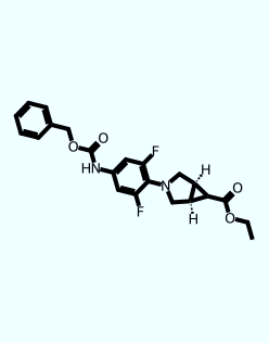 CCOC(=O)C1[C@H]2CN(c3c(F)cc(NC(=O)OCc4ccccc4)cc3F)C[C@@H]12